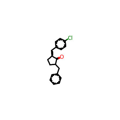 O=C1/C(=C\c2ccc(Cl)cc2)CCC1Cc1ccccc1